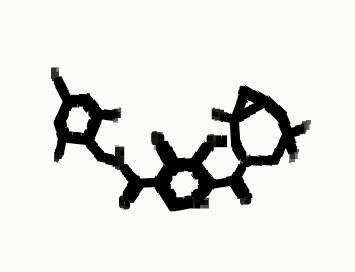 O=C(NCc1c(F)cc(F)cc1F)c1c[nH]c(C(=O)N2C[C@@H]3CC3CC(F)(F)C2)c(O)c1=O